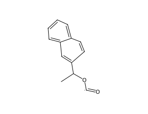 CC(O[C]=O)c1ccc2ccccc2c1